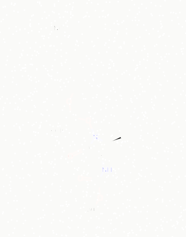 C[C@H]1[C@H](NC(=O)OC(C)(C)C)C(=O)N1OC(C=O)OCc1ccc([N+](=O)[O-])cc1